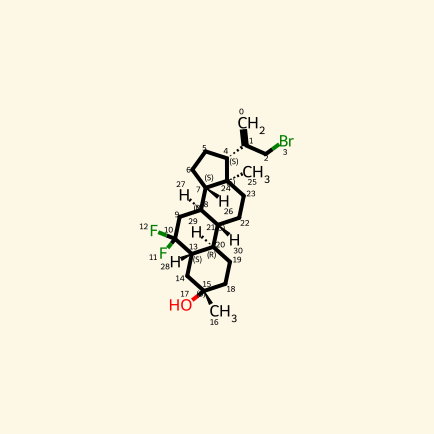 C=C(CBr)[C@H]1CC[C@H]2[C@@H]3CC(F)(F)[C@H]4C[C@@](C)(O)CC[C@@H]4[C@H]3CC[C@]12C